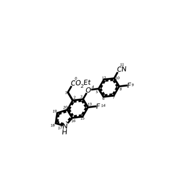 CCOC(=O)Cc1c(Oc2ccc(F)c(C#N)c2)c(F)cc2[nH]ccc12